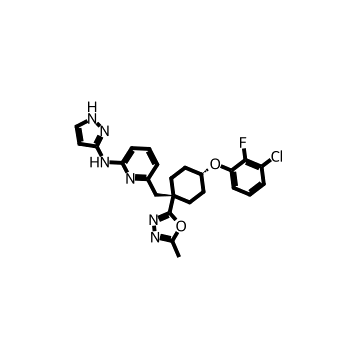 Cc1nnc([C@]2(Cc3cccc(Nc4cc[nH]n4)n3)CC[C@H](Oc3cccc(Cl)c3F)CC2)o1